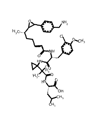 COc1ccc(C[C@@H](NC(=O)/C=C/CC[C@H](C)C2OC2c2ccc(CN)cc2)C(=O)NC2(C(C)(C)C(=O)N[C@@H](CC(C)C)C(=O)O)CC2)cc1Cl